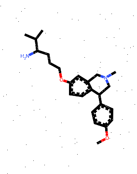 COc1ccc(C2CN(C)Cc3cc(OCCCC(N)C(C)C)ccc32)cc1